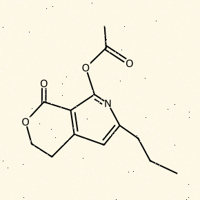 CCCc1cc2c(c(OC(C)=O)n1)C(=O)OCC2